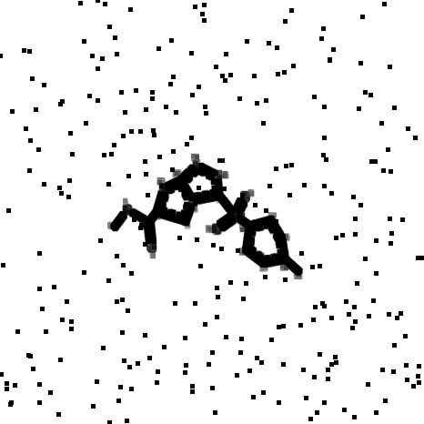 COC(=O)c1cn2c(S(=O)(=O)c3ccc(C)cc3)nsc2n1